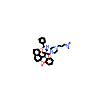 COc1ccccc1[C@@H](c1cccc2ccccc12)[C@](C#N)(COCc1ccccc1)C(=O)N1CCN(CCCN(C)C)CC1